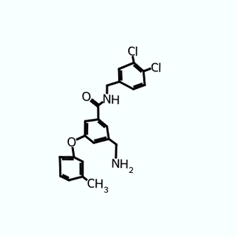 Cc1cccc(Oc2cc(CN)cc(C(=O)NCc3ccc(Cl)c(Cl)c3)c2)c1